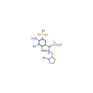 CC(=O)O.CCc1c(N)c(S(=O)(=O)CC)cc(C(=O)NCC2CCCN2CC)c1OC